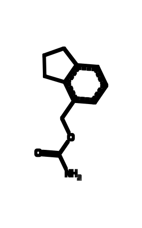 NC(=O)OCc1cccc2c1CCC2